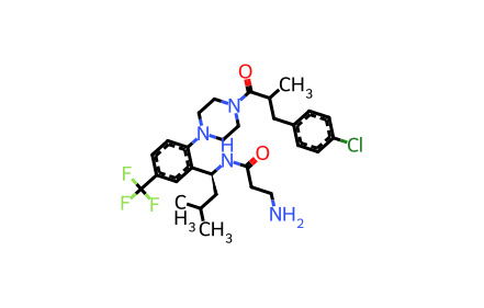 CC(C)C[C@H](NC(=O)CCN)c1cc(C(F)(F)F)ccc1N1CCN(C(=O)C(C)Cc2ccc(Cl)cc2)CC1